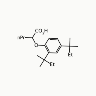 CCCC(Oc1ccc(C(C)(C)CC)cc1C(C)(C)CC)C(=O)O